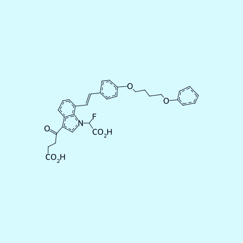 O=C(O)CCC(=O)c1cn(C(F)C(=O)O)c2c(C=Cc3ccc(OCCCCOc4ccccc4)cc3)cccc12